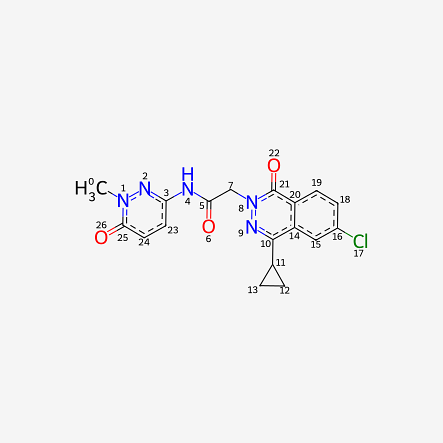 Cn1nc(NC(=O)Cn2nc(C3CC3)c3cc(Cl)ccc3c2=O)ccc1=O